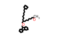 CC(=O)CCCCCCC(CCCCCCCc1ccccc1)COCC1c2ccccc2-c2ccccc21